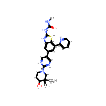 CCNC(=O)Nc1nc2cc(-c3cnc(N4CCC(O)C(C)(C(=O)O)C4)nc3)cc(-c3ccccn3)c2s1